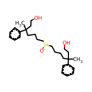 CC(CCO)(CCCC[S+]([O-])CCCCC(C)(CCO)c1ccccc1)c1ccccc1